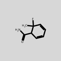 CC1(F)C=CC=CC1C(N)=O